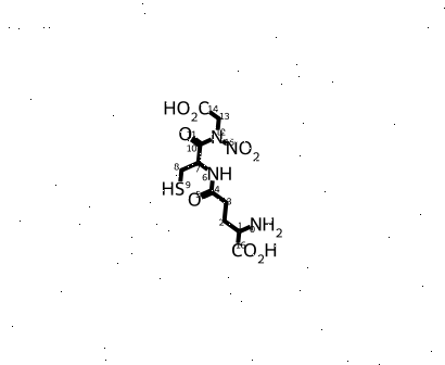 NC(CCC(=O)NC(CS)C(=O)N(CC(=O)O)[N+](=O)[O-])C(=O)O